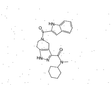 CN(C(=O)c1n[nH]c2c1CN(C(=O)c1cc3ccccc3[nH]1)CC2)C1CCCCC1